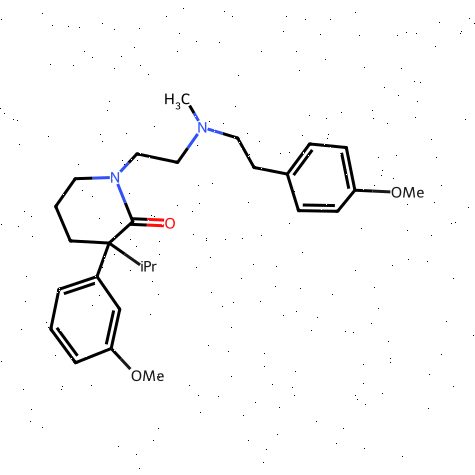 COc1ccc(CCN(C)CCN2CCCC(c3cccc(OC)c3)(C(C)C)C2=O)cc1